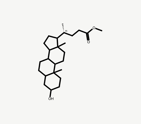 COC(=O)CC[C@@H](C)C1CCC2C3CCC4CC(O)CCC4(C)C3CCC21C